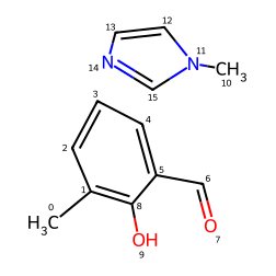 Cc1cccc(C=O)c1O.Cn1ccnc1